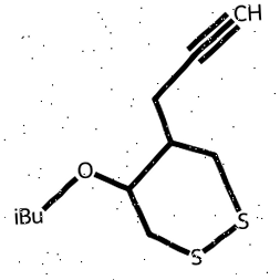 C#CCC1CSSCC1OC(C)CC